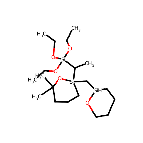 CCO[Si](OCC)(OCC)C(C)[Si]1(C[SiH]2CCCCO2)CCCC(C)(C)O1